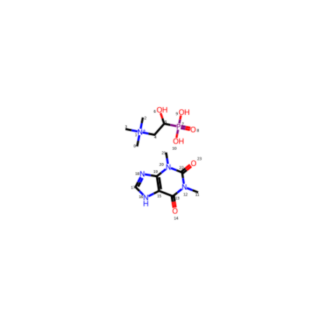 C[N+](C)(C)CC(O)P(=O)(O)O.Cn1c(=O)c2[nH]cnc2n(C)c1=O